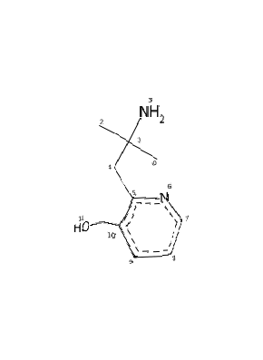 CC(C)(N)Cc1ncccc1O